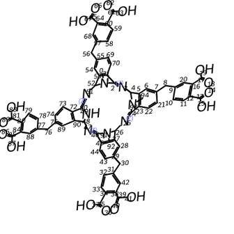 CN1/C2=N\C3c4cc(Cc5ccc(C(=O)O)c(C(=O)O)c5)ccc4/C(=N/C4c5cc(Cc6ccc(C(=O)O)c(C(=O)O)c6)ccc5/C(=N/C5N/C(=N\C1c1cc(Cc6ccc(C(=O)O)c(C(=O)O)c6)ccc12)c1ccc(Cc2ccc(C(=O)O)c(C(=O)O)c2)cc15)N4C)N3C